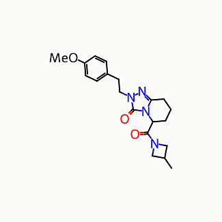 COc1ccc(CCn2nc3n(c2=O)C(C(=O)N2CC(C)C2)CCC3)cc1